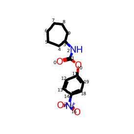 O=C(NC1CCCCCC1)Oc1ccc([N+](=O)[O-])cc1